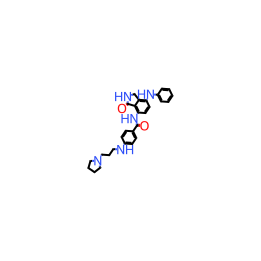 O=C(Nc1ccc(Nc2ccccc2)c2c1C(=O)NC2)c1ccc(NCCCN2CCCC2)cc1